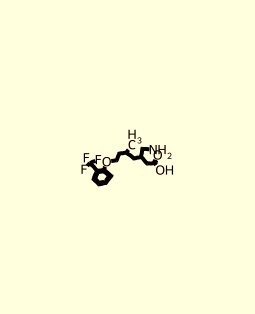 CC(CCOc1ccccc1C(F)(F)F)CC(CN)CC(=O)O